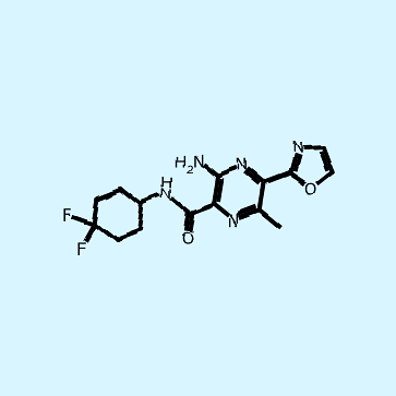 Cc1nc(C(=O)NC2CCC(F)(F)CC2)c(N)nc1-c1ncco1